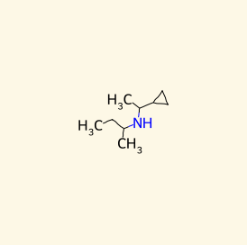 CCC(C)NC(C)C1CC1